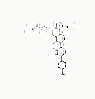 C=C(C)[C@@H]1CC[C@]2(NCCNC(=O)C(C)(C)C)CC[C@]3(C)[C@H](CC[C@@H]4[C@@]5(C)CC=C(c6ccc(C(=O)O)cc6)C(C)(C)[C@@H]5CC[C@]43C)[C@@H]12